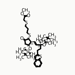 COC(=O)CSCCCS[C@H]1C(=O)C[C@@H](O[Si](C)(C)C(C)(C)C)[C@@H]1C=C[C@](C)(CCc1cc2ccccc2s1)O[Si](C)(C)C(C)(C)C